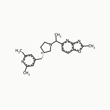 Cc1cc(C[C@@H]2CCN(C(C)c3ccc4oc(C)nc4n3)C2)cc(C)n1